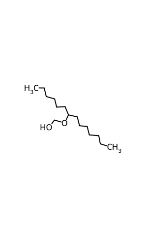 CCCCCCCC(CCCCCC)OCO